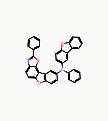 c1ccc(-c2nc3ccc4oc5ccc(N(c6ccccc6)c6ccc7oc8ccccc8c7c6)cc5c4c3o2)cc1